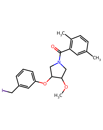 COC1CN(C(=O)c2cc(C)ccc2C)CC1Oc1cccc(CI)c1